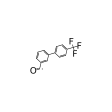 O=[C]c1cccc(-c2ccc(C(F)(F)F)cc2)c1